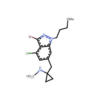 COCCCn1nc(Br)c2c(Cl)cc(CC3(NC(=O)O)CC3)cc21